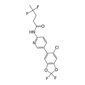 CC(F)(F)CCC(=O)Nc1ccc(-c2cc3c(cc2Cl)OC(F)(F)O3)cn1